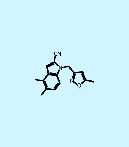 Cc1cc(Cn2c(C#N)cc3c(C)c(C)ccc32)no1